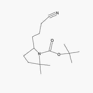 CC(C)(C)OC(=O)N1C(CCCC#N)CCC1(C)C